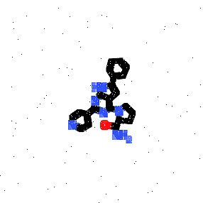 NC(=O)C1CCCN1c1nc(-c2ccncc2)nc2[nH]c(-c3ccccc3)cc12